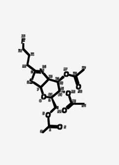 CC(=O)OC[C@H]1OC2SC(CCCF)=NC2[C@@H](OC(C)=O)[C@@H]1OC(C)=O